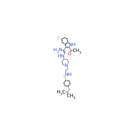 CC(=O)c1[nH]c2ccc(F)cc2c1/C(N)=C/NC1CCN(CCNSc2ccc(CC(C)C)cc2)CC1